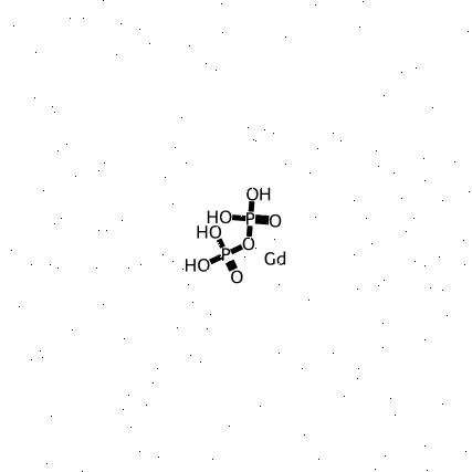 O=P(O)(O)OP(=O)(O)O.[Gd]